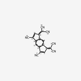 N#CC1=CC(=C(C#N)C#N)c2cc3c(cc21)C(C#N)=CC3=C(C#N)C#N